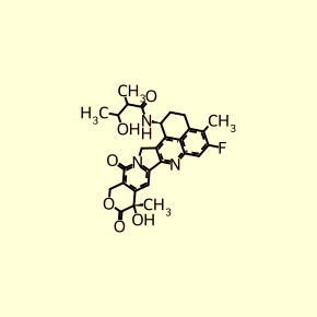 Cc1c(F)cc2nc3c(c4c2c1CC[C@@H]4NC(=O)C(C)C(C)O)Cn1c-3cc2c(c1=O)COC(=O)[C@@]2(C)O